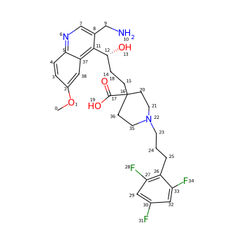 COc1ccc2ncc(CN)c([C@H](O)CCC3(C(=O)O)CCN(CCCc4c(F)cc(F)cc4F)CC3)c2c1